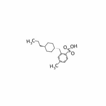 CCC[C@H]1CC[C@H](Cc2cc(C)ccc2S(=O)(=O)O)CC1